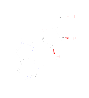 OC[C@H]1O[C@@H](n2ncc3cncnc32)[C@H](O)[C@@H]1O